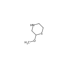 COC1CNCCS1